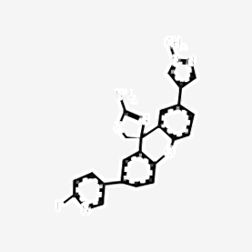 Cn1cc(-c2ccc3c(c2)[C@]2(COC(N)=N2)c2cc(-c4ccc(F)nc4)ccc2O3)cn1